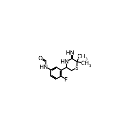 CC1(C)SCC(c2cc(NC=O)ccc2F)NC1=N